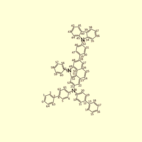 c1ccc(-c2ccc(N(c3ccc(-c4ccccc4)cc3)c3cc4ccc5cc(-c6ccc(-n7c8ccccc8c8ccccc87)cc6)cc6c5c4c(c3)n6-c3ccccc3)cc2)cc1